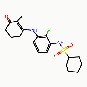 CC1=C(Nc2cccc(NS(=O)(=O)C3CCCCC3)c2Cl)CCCC1=O